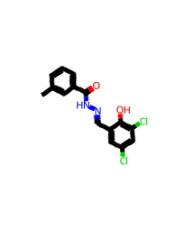 Cc1cccc(C(=O)N/N=C/c2cc(Cl)cc(Cl)c2O)c1